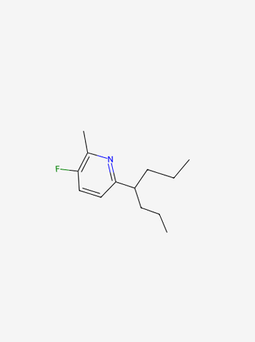 CCCC(CCC)c1ccc(F)c(C)n1